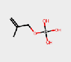 C=C(C)CO[Si](O)(O)O